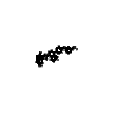 O=C(NC1[C@@H]2CC3C[C@H]1CC(O)(C3)C2)N1CCN(c2ccc(Oc3nccc(C(F)(F)F)n3)cc2)c2ccccc21